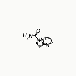 NC(=O)n1ccc2nccc[n+]21